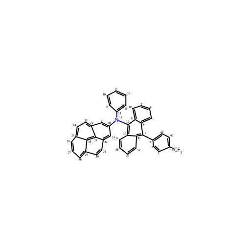 FC(F)(F)c1ccc(-c2c3ccccc3c(N(c3ccccc3)c3cc4ccc5cccc6ccc(c3)c4c56)c3ccccc23)cc1